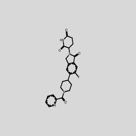 O=C1CCC(N2Cc3cc(C4CCN(C(=O)c5ccccn5)CC4)c(F)cc3C2=O)C(=O)N1